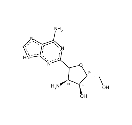 Nc1nc(C2O[C@H](CO)[C@@H](O)[C@H]2N)nc2[nH]cnc12